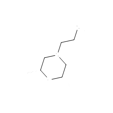 C[C@@H]1CN(CCN)C[C@H](C)O1